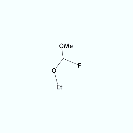 [CH2]OC(F)OCC